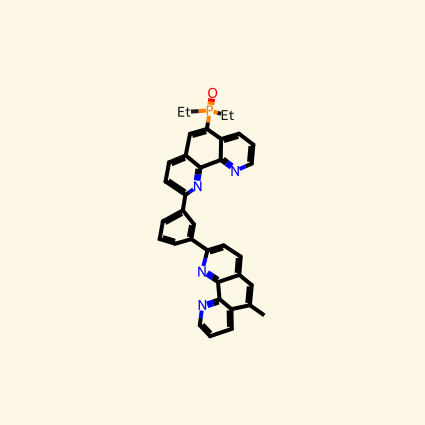 CCP(=O)(CC)c1cc2ccc(-c3cccc(-c4ccc5cc(C)c6cccnc6c5n4)c3)nc2c2ncccc12